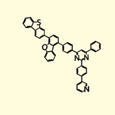 c1ccc(-c2cc(-c3ccc(-c4ccc(-c5ccc6c(c5)sc5ccccc56)c5oc6ccccc6c45)cc3)nc(-c3ccc(-c4cccnc4)cc3)n2)cc1